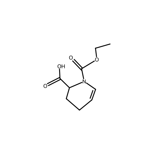 CCOC(=O)N1C=CCCC1C(=O)O